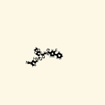 N#Cc1csc(CNC(=O)[C@@H]2CC3(CN2C(=O)CNC(=O)c2ccc(-c4ccccc4)c(F)c2)OCCO3)c1